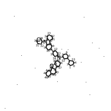 c1ccc(-c2cccc(N(c3ccc(-c4ccc5c(c4)c4ccccc4n5-c4ccccc4)cc3)c3ccc4c(c3)oc3c5ccccc5ccc43)c2)cc1